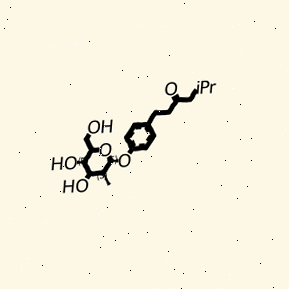 CC(C)CC(=O)CCc1ccc(O[C@@H]2OC(CO)[C@H](O)C(O)[C@@H]2C)cc1